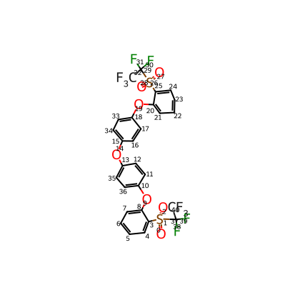 O=S(=O)(c1ccccc1Oc1ccc(Oc2ccc(Oc3ccccc3S(=O)(=O)C(F)(F)C(F)(F)F)cc2)cc1)C(F)(F)C(F)(F)F